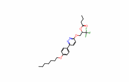 CCCCCCCOc1ccc(-c2ccc(OCC(OC(=O)CCC)C(F)(F)F)nn2)cc1